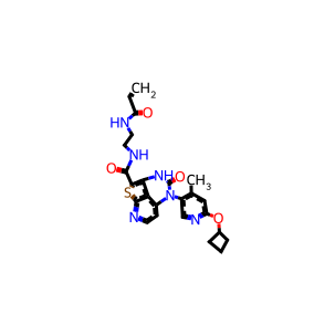 C=CC(=O)NCCNC(=O)c1sc2nccc3c2c1NC(=O)N3c1cnc(OC2CCC2)cc1C